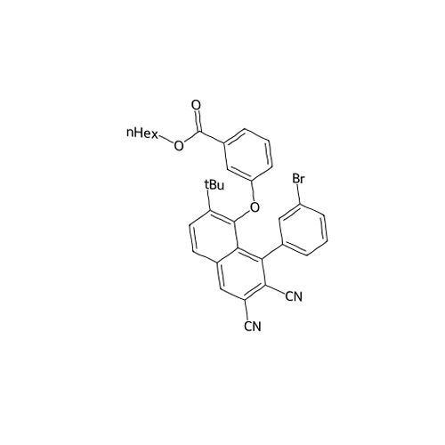 CCCCCCOC(=O)c1cccc(Oc2c(C(C)(C)C)ccc3cc(C#N)c(C#N)c(-c4cccc(Br)c4)c23)c1